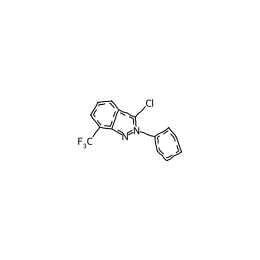 FC(F)(F)c1cccc2c(Cl)n(-c3ccccc3)nc12